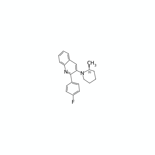 C[C@H]1CCCCN1c1cc2ccccc2nc1-c1ccc(F)cc1